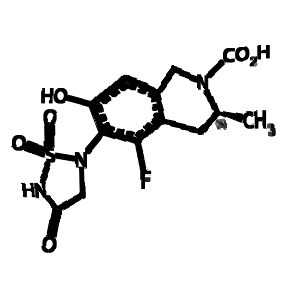 C[C@H]1Cc2c(cc(O)c(N3CC(=O)NS3(=O)=O)c2F)CN1C(=O)O